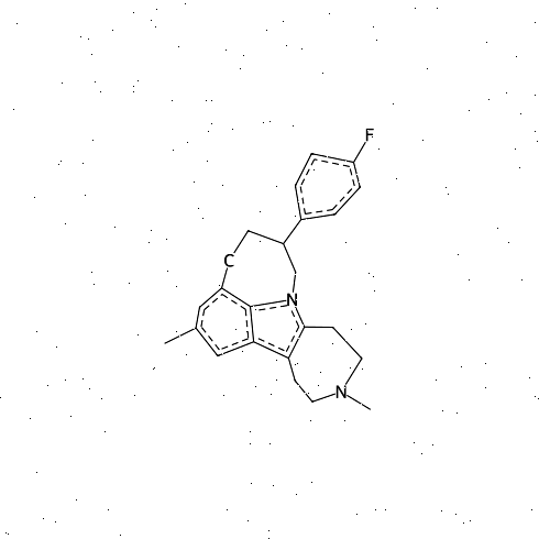 Cc1cc2c3c(c1)c1c(n3CC(c3ccc(F)cc3)CC2)CCN(C)CC1